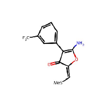 CSC=C1OC(N)=C(c2cccc(C(F)(F)F)c2)C1=O